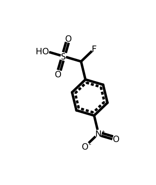 O=[N+]([O-])c1ccc(C(F)S(=O)(=O)O)cc1